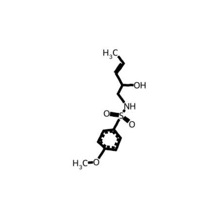 C/C=C/C(O)CNS(=O)(=O)c1ccc(OC)cc1